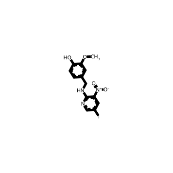 COc1cc(CNc2ncc(I)cc2[N+](=O)[O-])ccc1O